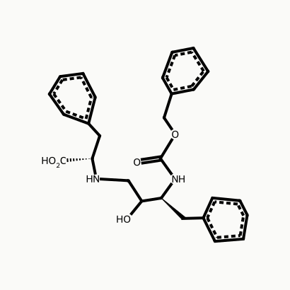 O=C(N[C@@H](Cc1ccccc1)C(O)CN[C@@H](Cc1ccccc1)C(=O)O)OCc1ccccc1